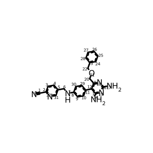 N#Cc1ccc(CNc2ccc(-c3c(N)nc(N)nc3COCc3ccccc3)cc2)cn1